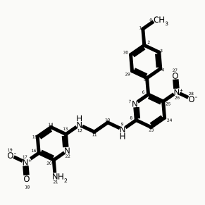 CCc1ccc(-c2nc(NCCNc3ccc([N+](=O)[O-])c(N)n3)ccc2[N+](=O)[O-])cc1